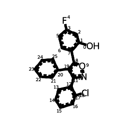 Oc1cc(F)ccc1-c1onc(-c2ccccc2Cl)c1-c1ccccc1